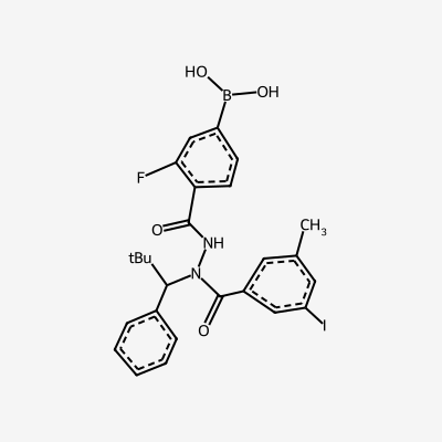 Cc1cc(I)cc(C(=O)N(NC(=O)c2ccc(B(O)O)cc2F)C(c2ccccc2)C(C)(C)C)c1